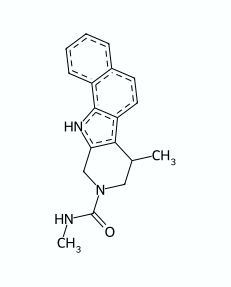 CNC(=O)N1Cc2[nH]c3c(ccc4ccccc43)c2C(C)C1